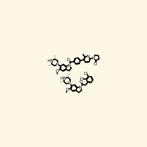 COc1cc2c(cc1N1C[C@@H](C)N[C@@H](C)C1)N(C(=O)Cc1cccc(Cl)c1Cl)CC2.COc1cc2c(cc1N1C[C@@H](C)N[C@@H](C)C1)N(C(=O)c1ccc(-c3ccc(N4CCCC4=O)nc3C)cc1)CC2